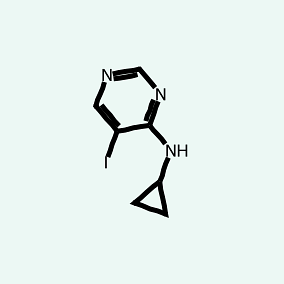 Ic1cncnc1NC1CC1